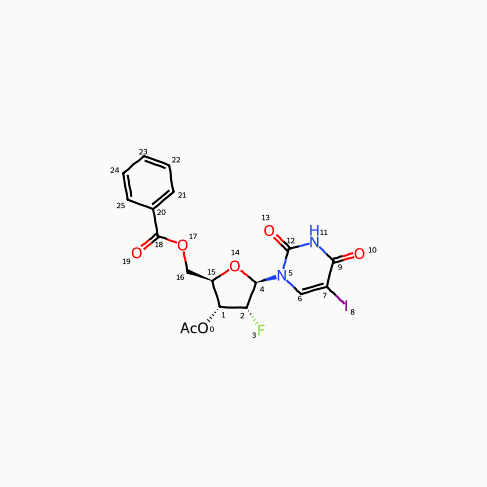 CC(=O)O[C@H]1[C@@H](F)[C@H](n2cc(I)c(=O)[nH]c2=O)O[C@@H]1COC(=O)c1ccccc1